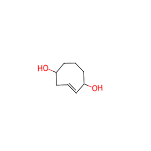 OC1/C=C/CC(O)CCC1